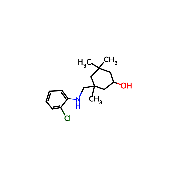 CC1(C)CC(O)CC(C)(CNc2ccccc2Cl)C1